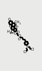 CC(=O)[C@@]1(OC(=O)COC(=O)CCCc2ccc(N(CCCl)CCCl)cc2)CC[C@H]2[C@@H]3C[C@H](C)C4=CC(=O)CC[C@]4(C)[C@H]3CC[C@@]21C